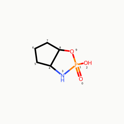 O=P1(O)NC2CCCC2O1